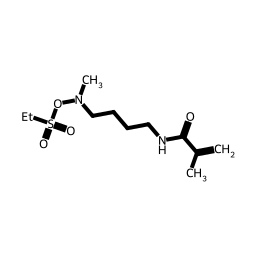 C=C(C)C(=O)NCCCCN(C)OS(=O)(=O)CC